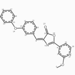 COc1cc(C2=NC(=Cc3cccc(Oc4ccccc4)c3)C(=O)O2)ccn1